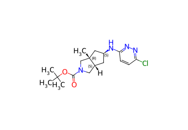 CC(C)(C)OC(=O)N1C[C@H]2C[C@H](Nc3ccc(Cl)nn3)C[C@@]2(C)C1